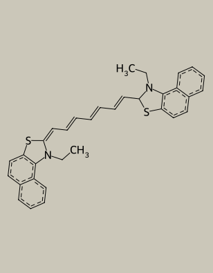 CCN1C(=CC=CC=CC=CC2Sc3ccc4ccccc4c3N2CC)Sc2ccc3ccccc3c21